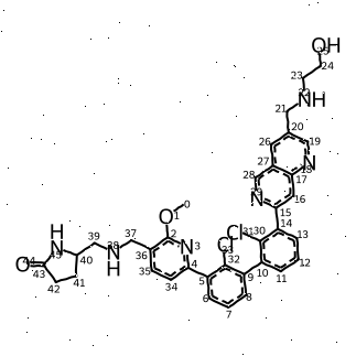 COc1nc(-c2cccc(-c3cccc(-c4cc5ncc(CNCCO)cc5cn4)c3Cl)c2Cl)ccc1CNCC1CCC(=O)N1